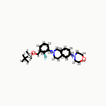 CC(C)(C)[Si](C)(C)OCc1cccc(N2CCc3cc(N4CCOCC4)ccc3C2)c1F